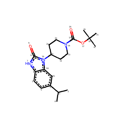 CC(C)c1ccc2[nH]c(=O)n(C3CCN(C(=O)OC(C)(C)C)CC3)c2c1